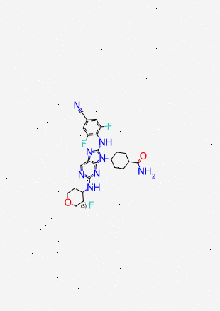 N#Cc1cc(F)c(Nc2nc3cnc(NC4CCOC[C@H]4F)nc3n2C2CCC(C(N)=O)CC2)c(F)c1